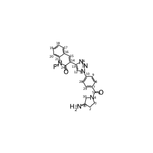 N[C@@H]1CCN(C(=O)c2ccc(-n3cc(-c4cc5ccccc5n(F)c4=O)nn3)cc2)C1